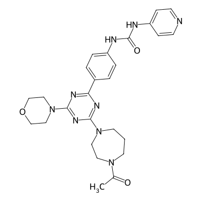 CC(=O)N1CCCN(c2nc(-c3ccc(NC(=O)Nc4ccncc4)cc3)nc(N3CCOCC3)n2)CC1